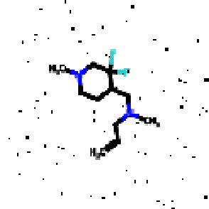 C=CCN(C)CC1CCN(C)CC1(F)F